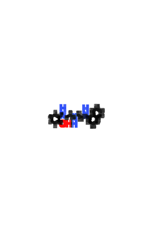 Oc1ccccc1NCCNCCNc1cccc2ccccc12